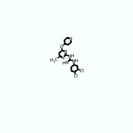 Cc1cc(Oc2ccncc2)nc(NC(=N)Nc2ccc(Cl)c(Cl)c2)n1